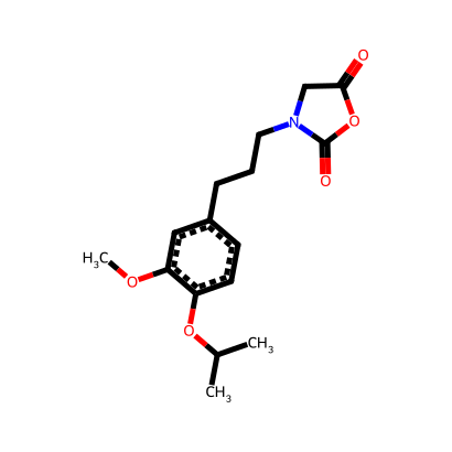 COc1cc(CCCN2CC(=O)OC2=O)ccc1OC(C)C